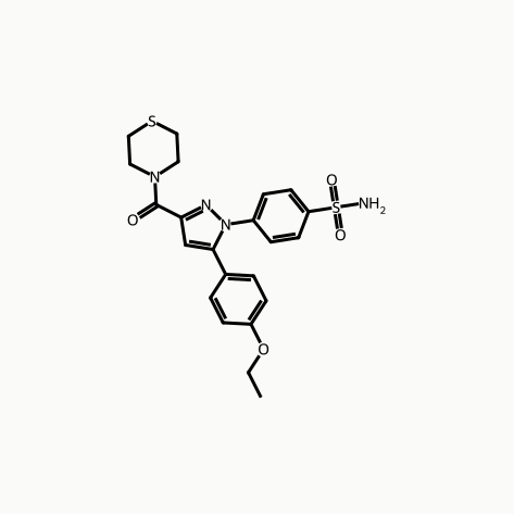 CCOc1ccc(-c2cc(C(=O)N3CCSCC3)nn2-c2ccc(S(N)(=O)=O)cc2)cc1